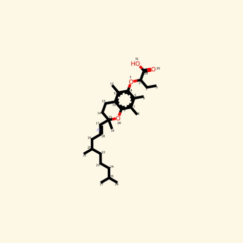 CCC(Oc1c(C)c(C)c2c(c1C)CCC(C)(/C=C/CC(C)CCCC(C)C)O2)C(=O)O